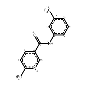 CC(C)(C)c1ccc(C(=O)Nc2cccc(C(F)(F)F)c2)cn1